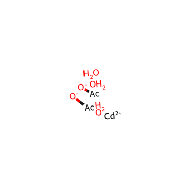 CC(=O)[O-].CC(=O)[O-].O.O.O.[Cd+2]